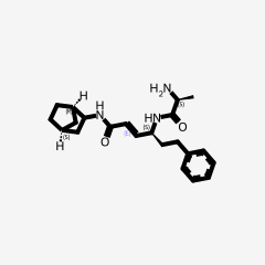 C[C@H](N)C(=O)N[C@H](/C=C/C(=O)NC1C[C@H]2CC[C@@H]1C2)CCc1ccccc1